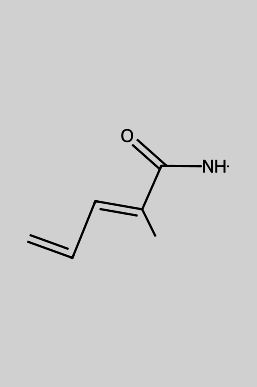 C=C/C=C(\C)C([NH])=O